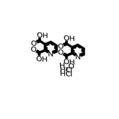 Cl.Cl.O.O=C(O)c1cccnc1C(=O)O.O=C(O)c1cccnc1C(=O)O